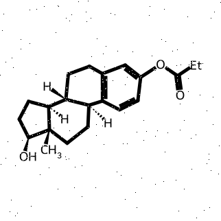 CCC(=O)Oc1ccc2c(c1)CC[C@@H]1[C@@H]2CC[C@]2(C)[C@@H](O)CC[C@@H]12